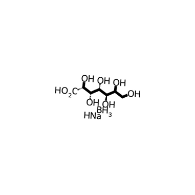 B.O=C(O)[C@H](O)[C@@H](O)[C@H](O)[C@H](O)C(O)CO.[NaH]